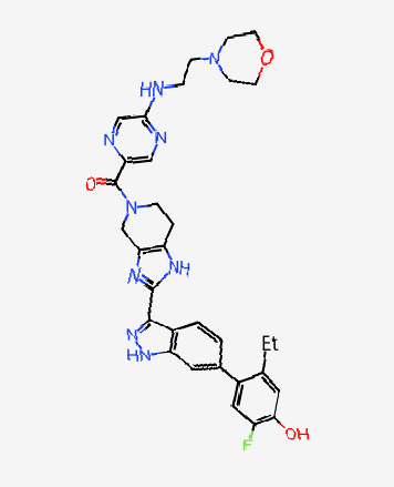 CCc1cc(O)c(F)cc1-c1ccc2c(-c3nc4c([nH]3)CCN(C(=O)c3cnc(NCCN5CCOCC5)cn3)C4)n[nH]c2c1